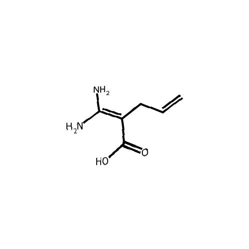 C=CCC(C(=O)O)=C(N)N